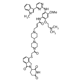 COc1cc(OCCN(C)C)c(NC(=O)/C=C/CN2CCC(N3CCN(C(=O)CSc4cccc5c4CN(C4CCC(=O)NC4=O)C5=O)CC3)CC2)cc1Nc1nccc(-c2cn(C)c3ccccc23)n1